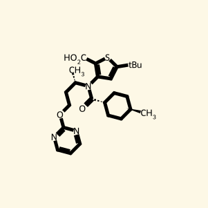 C[C@@H](CCOc1ncccn1)N(c1cc(C(C)(C)C)sc1C(=O)O)C(=O)[C@H]1CC[C@H](C)CC1